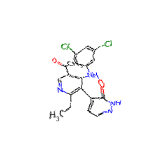 CCc1ncc(C(C)=O)c(Nc2cc(Cl)cc(Cl)c2)c1-c1ccn[nH]c1=O